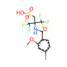 COc1cc(I)ccc1C(=O)NC(CS(=O)(=O)O)(C(F)(F)F)C(F)(F)F